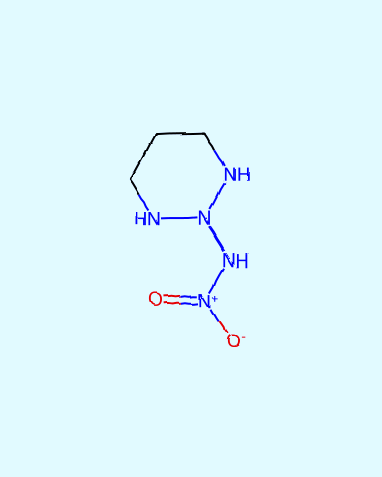 O=[N+]([O-])NN1NCCCN1